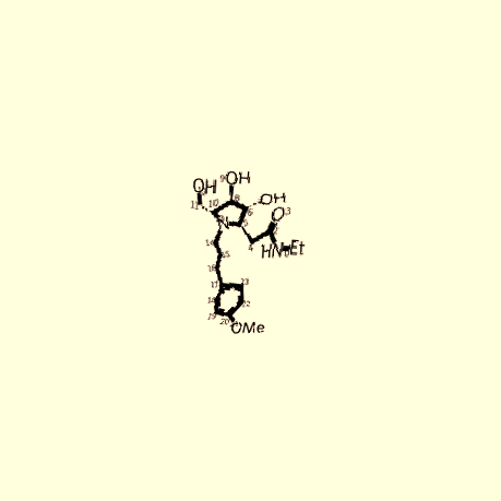 CCNC(=O)C[C@@H]1[C@@H](O)[C@H](O)[C@@H](CO)N1CCCc1ccc(OC)cc1